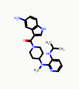 CC(C)Nc1cccnc1N(C)C1CCN(C(=O)c2c[nH]c3ccc(N)cc23)CC1